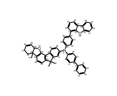 CC1(C)c2cc(N(c3ccc(-c4ccccc4)cc3)c3ccc(-c4cccc5c4oc4ccccc45)cc3)ccc2-c2c1ccc1c2OC2C=CCCC12C